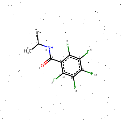 CC(C)[C@H](C)NC(=O)c1c(F)c(F)c(F)c(F)c1F